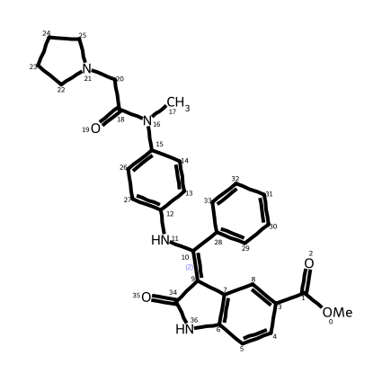 COC(=O)c1ccc2c(c1)/C(=C(/Nc1ccc(N(C)C(=O)CN3CCCC3)cc1)c1ccccc1)C(=O)N2